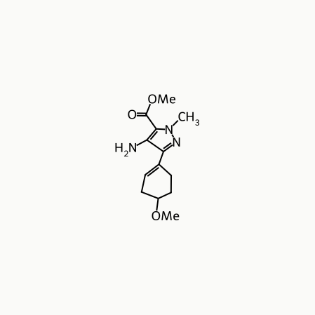 COC(=O)c1c(N)c(C2=CCC(OC)CC2)nn1C